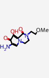 COCCN1CCn2cc(N)c(=O)c(O)c2C1=O